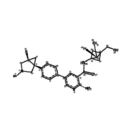 CC(C)N1C[C@@H]2C[C@]2(c2ccc(-c3cnc(N)c(C(=O)NC45CC(CO)(C4)[C@H]5C)c3)cc2)C1